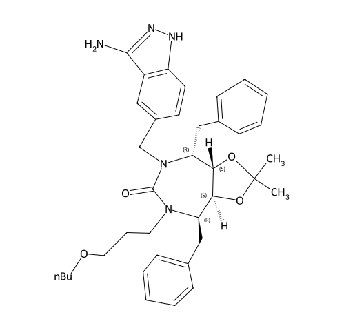 CCCCOCCCN1C(=O)N(Cc2ccc3[nH]nc(N)c3c2)[C@H](Cc2ccccc2)[C@@H]2OC(C)(C)O[C@H]2[C@H]1Cc1ccccc1